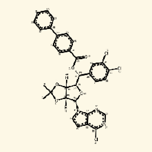 CC1(C)O[C@H]2[C@@H](O1)[C@H](n1ccc3c(Cl)ncnc31)O[C@@H]2[C@H](OC(=O)c1ccc(-c2ccccc2)cc1)c1ccc(Cl)c(Cl)c1